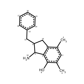 Cc1cc(C)c2c(c1O)C(N)C(Cc1ccccc1)C2